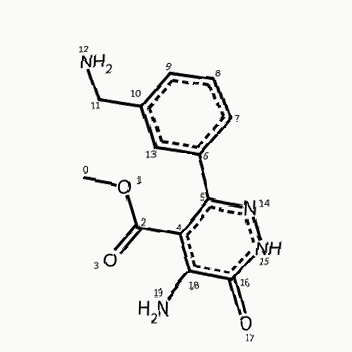 COC(=O)c1c(-c2cccc(CN)c2)n[nH]c(=O)c1N